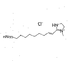 CCCCCCCCCCCCCCCCC=CC1=[N+](C)CCN1.[Cl-]